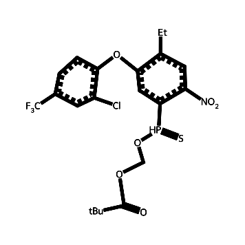 CCc1cc([N+](=O)[O-])c([PH](=S)OCOC(=O)C(C)(C)C)cc1Oc1ccc(C(F)(F)F)cc1Cl